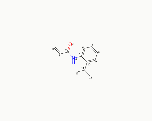 C=CC(=O)Nc1ccccc1C(C)C